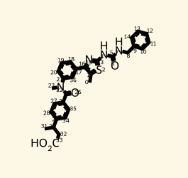 Cc1sc(NC(=O)NCc2ccccc2)nc1-c1cccc(N(C)C(=O)c2ccc(C(C)CC(=O)O)cc2)c1